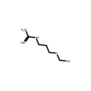 N=C(N)NCCCOCO